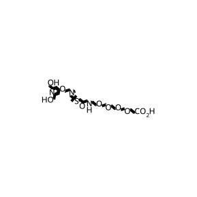 CN(CCOc1cc(CO)nc(CO)c1)CC(C)(C)SCC(=O)CNCCOCCOCCOCCOCCC(=O)O